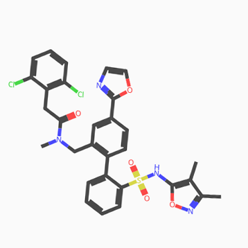 Cc1noc(NS(=O)(=O)c2ccccc2-c2ccc(-c3ncco3)cc2CN(C)C(=O)Cc2c(Cl)cccc2Cl)c1C